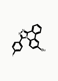 CCC(C)c1ccc2c(c1)c1ccccc1c1nnc(-c3ccc(I)cc3)n21